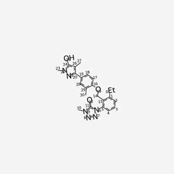 CCc1cccc(-n2nnn(C)c2=O)c1COc1ccc(-c2nn(C)c(O)c2C)cc1C